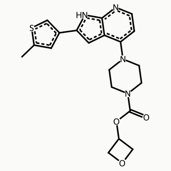 Cc1cc(-c2cc3c(N4CCN(C(=O)OC5COC5)CC4)ccnc3[nH]2)cs1